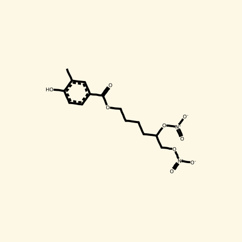 Cc1cc(C(=O)OCCCCC(CO[N+](=O)[O-])O[N+](=O)[O-])ccc1O